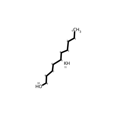 CCCCCCCCCCO.[KH]